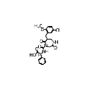 COc1ccc(Cl)cc1CC1CNC(=O)CN(C(=O)N[C@H](C(=O)O)c2ccccc2)C1=O